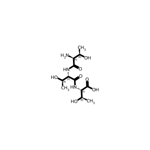 C[C@@H](O)[C@H](N)C(=O)N[C@H](C(=O)N[C@H](C(=O)O)[C@@H](C)O)[C@@H](C)O